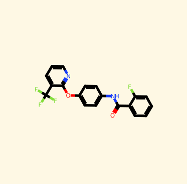 O=C(Nc1ccc(Oc2ncccc2C(F)(F)F)cc1)c1ccccc1F